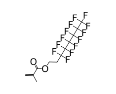 C=C(C)C(=O)OCCC(F)(F)C(F)(F)C(F)(F)C(F)(F)C(F)(F)C(F)(F)F